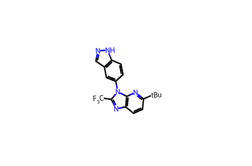 CC(C)(C)c1ccc2nc(C(F)(F)F)n(-c3ccc4[nH]ncc4c3)c2n1